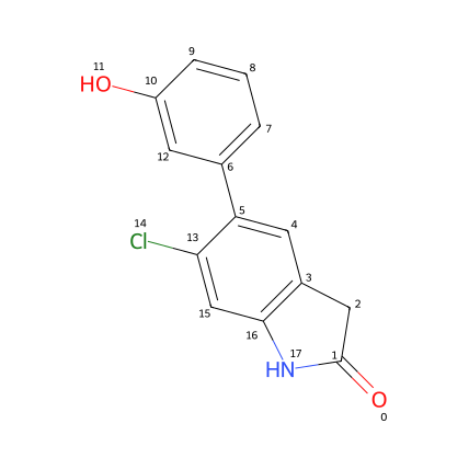 O=C1Cc2cc(-c3cccc(O)c3)c(Cl)cc2N1